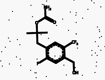 CC(C)(Cc1cc(C(F)(F)F)c(CO)cc1F)OC(N)=O